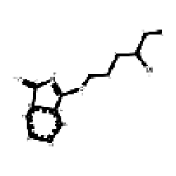 CCC(O)CCCOC1=NC(=O)c2ccccc21